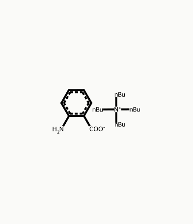 CCCC[N+](CCCC)(CCCC)CCCC.Nc1ccccc1C(=O)[O-]